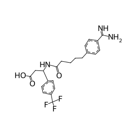 N=C(N)c1ccc(CCCCC(=O)NC(CC(=O)O)c2ccc(C(F)(F)F)cc2)cc1